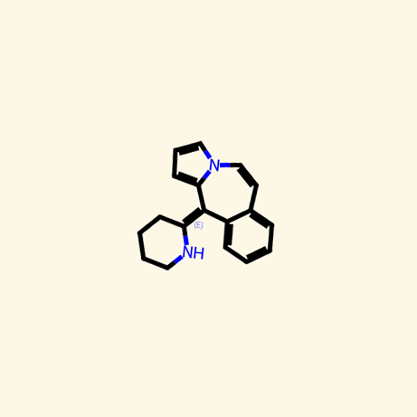 C1=Cn2cccc2/C(=C2\CCCCN2)c2ccccc21